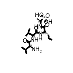 CCC[C@H](NC(=O)[C@@H](NC(=O)[C@@H](N)C(C)C)C(C)C)C(=O)N[C@@H](C)P(=O)(O)O